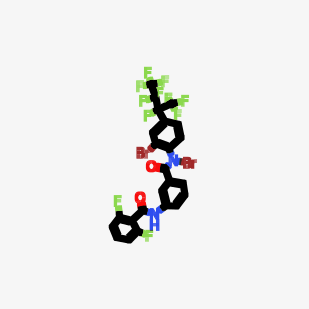 O=C(Nc1cccc(C(=O)N(Br)c2ccc(C(F)(C(F)(F)F)C(F)(F)C(F)(F)F)cc2Br)c1)c1c(F)cccc1F